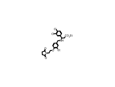 CCOC(=O)CC(NCc1ccc(OCCN2C(=O)CCC2=O)c(CC)c1)c1ccc(Cl)c(Cl)c1